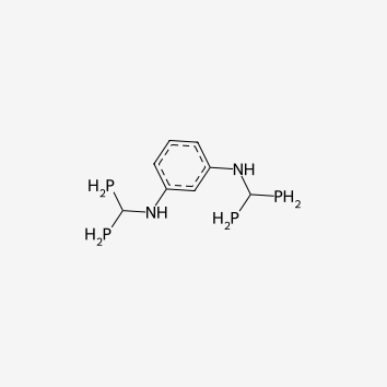 PC(P)Nc1cccc(NC(P)P)c1